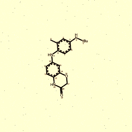 Cc1cc(NC(C)(C)C)ccc1Nc1ccc2c(c1)OCC(=O)N2